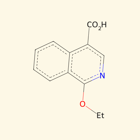 CCOc1ncc(C(=O)O)c2ccccc12